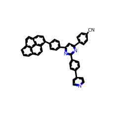 N#Cc1ccc(-c2cc(-c3ccc(-c4ccc5ccc6cccc7ccc4c5c67)cc3)nc(-c3ccc(-c4ccncc4)cc3)n2)cc1